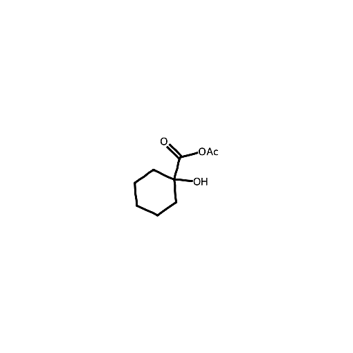 CC(=O)OC(=O)C1(O)CCCCC1